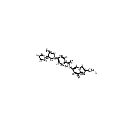 Cc1cn2cc(NC(=O)c3cnc(N4C[C@@H](N5CCCC5)[C@@H](F)C4)cn3)cc(F)c2n1